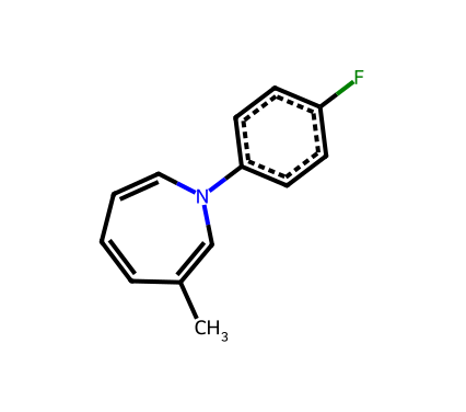 CC1=CN(c2ccc(F)cc2)C=CC=C1